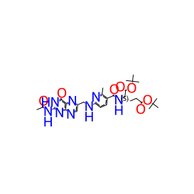 CC(=O)Nc1nc2ncc(CNc3ccc(C(=O)N[C@@H](CCC(=O)OC(C)(C)C)C(=O)OC(C)(C)C)c(C)n3)nc2c(=O)[nH]1